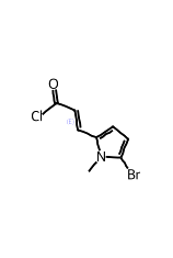 Cn1c(Br)ccc1/C=C/C(=O)Cl